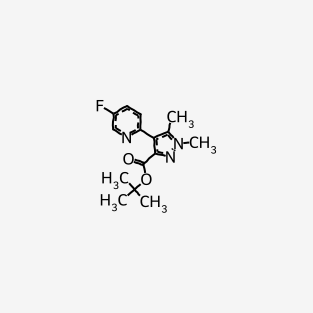 Cc1c(-c2ccc(F)cn2)c(C(=O)OC(C)(C)C)nn1C